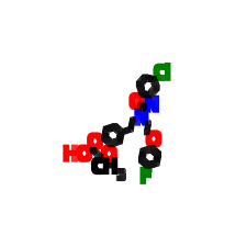 CC(Oc1cccc(CCN(CCOc2ccc(F)cc2)c2nc3cc(Cl)ccc3o2)c1)C(=O)O